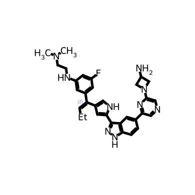 CC/C=C(/c1cc(F)cc(NCCN(C)C)c1)c1c[nH]c(-c2n[nH]c3ccc(-c4cncc(N5CC(N)C5)n4)cc23)c1